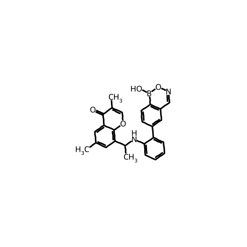 Cc1cc(C(C)Nc2ccccc2-c2ccc3c(c2)C=NOB3O)c2occ(C)c(=O)c2c1